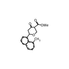 COC(=O)C1COC(c2cccc3cccc(C)c23)CC1=O